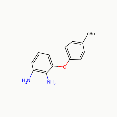 CCCCc1ccc(Oc2cccc(N)c2N)cc1